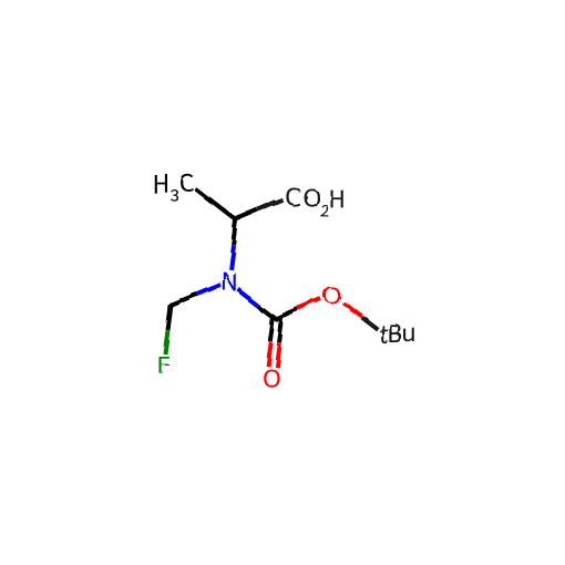 CC(C(=O)O)N(CF)C(=O)OC(C)(C)C